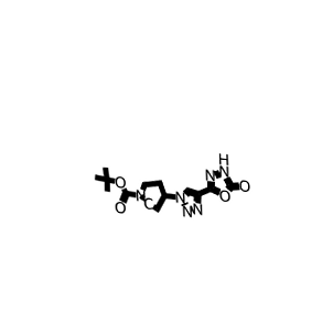 CC(C)(C)OC(=O)N1CCC(n2cc(-c3n[nH]c(=O)o3)nn2)CC1